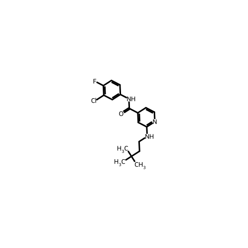 CC(C)(C)CCNc1cc(C(=O)Nc2ccc(F)c(Cl)c2)ccn1